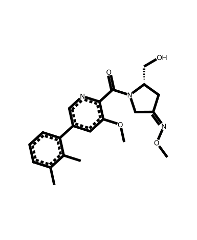 CO/N=C1/C[C@@H](CO)N(C(=O)c2ncc(-c3cccc(C)c3C)cc2OC)C1